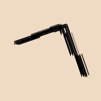 O.O.O.O.O.O.O.O.O.O.O.O.O.O.O.O.O.O.O.O.[Na+].[Na+].[Na+].[Na+].[Na+].[Na+].[Na+].[Na+].[Na+].[Na+].[Na+].[Na+].[Na+].[Na+].[Na+].[Na+].[Na+].[Na+].[Na+].[Na+].[Na+].[Na+].[Na+].[Na+].[Na+].[Na+].[Na+].[Na+].[Na+].[Na+].[Na+].[Na+].[Na+].[Na+].[Na+].[Na+].[Na+].[Na+].[Na+].[Na+].[Na+].[Na+].[Na+].[Na+].[Na+].[Na+].[Na+].[Na+].[Na+].[Na+].[OH-].[OH-].[OH-].[OH-].[OH-].[OH-].[OH-].[OH-].[OH-].[OH-].[OH-].[OH-].[OH-].[OH-].[OH-].[OH-].[OH-].[OH-].[OH-].[OH-].[OH-].[OH-].[OH-].[OH-].[OH-].[OH-].[OH-].[OH-].[OH-].[OH-].[OH-].[OH-].[OH-].[OH-].[OH-].[OH-].[OH-].[OH-].[OH-].[OH-].[OH-].[OH-].[OH-].[OH-].[OH-].[OH-].[OH-].[OH-].[OH-].[OH-]